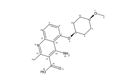 CO[C@H]1CC[C@@H](Oc2cccc3nc(C)c(C(=O)O)c(N)c23)CC1